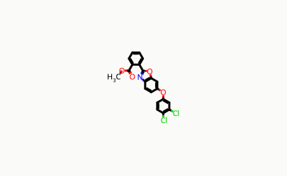 COC(=O)c1ccccc1-c1nc2ccc(Oc3ccc(Cl)c(Cl)c3)cc2o1